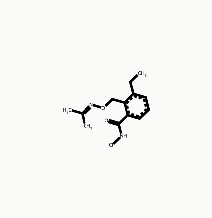 CCc1cccc(C(=O)NCl)c1CON=C(C)C